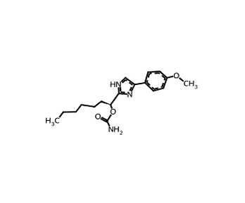 CCCCCC[C@H](OC(N)=O)c1nc(-c2ccc(OC)cc2)c[nH]1